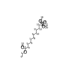 CCOC(CCCCCCCCCC[Si](OC)(OC)OC)OC